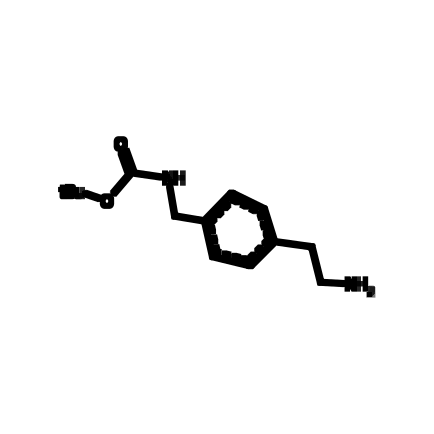 CC(C)(C)OC(=O)NCc1ccc(CCN)cc1